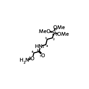 CO[Si](CCCNC(=O)CON)(OC)OC